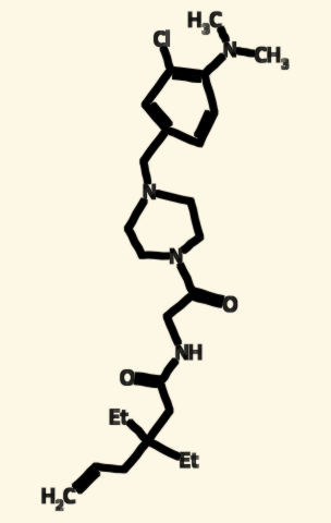 C=CCC(CC)(CC)CC(=O)NCC(=O)N1CCN(Cc2ccc(N(C)C)c(Cl)c2)CC1